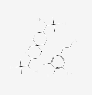 CC(C)(O)C(O)C1OCC2(CO1)COC(C(O)C(C)(C)O)OC2.Cc1cc(CCC(=O)O)cc(C(C)(C)C)c1O